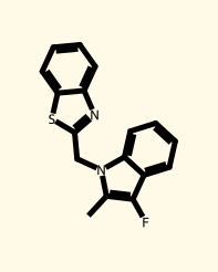 Cc1c(F)c2ccccc2n1Cc1nc2ccccc2s1